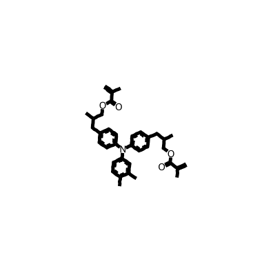 C=C(C)C(=O)OCC(C)Cc1ccc(N(c2ccc(CC(C)COC(=O)C(=C)C)cc2)c2ccc(C)c(C)c2)cc1